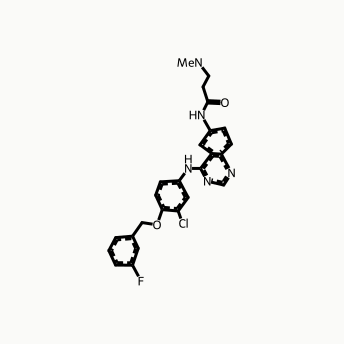 CNCCC(=O)Nc1ccc2ncnc(Nc3ccc(OCc4cccc(F)c4)c(Cl)c3)c2c1